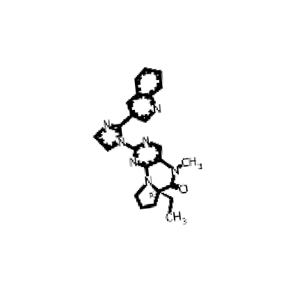 CC[C@@]12CCCN1c1nc(-n3ccnc3-c3cnc4ccccc4c3)ncc1N(C)C2=O